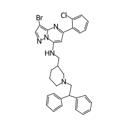 Clc1ccccc1-c1cc(NCC2CCCN(CC(c3ccccc3)c3ccccc3)C2)n2ncc(Br)c2n1